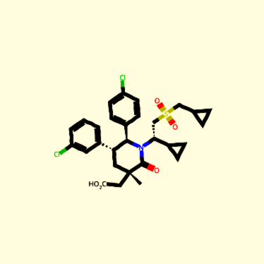 C[C@@]1(CC(=O)O)C[C@H](c2cccc(Cl)c2)[C@@H](c2ccc(Cl)cc2)N([C@H](CS(=O)(=O)CC2CC2)C2CC2)C1=O